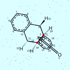 O=C1O[C@@H]2[C@H]3c4ccccc4[C@@H](c4ccccc43)[C@@H]2O1